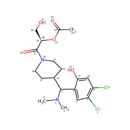 CN(C)C(c1cc(Cl)c(Cl)cc1O)C1CCN(C(=O)[C@@H](CO)OC(=O)C(F)(F)F)CC1